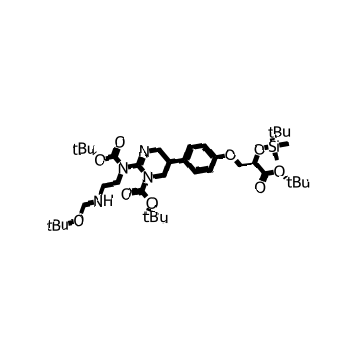 CC(C)(C)OCNCCN(C(=O)OC(C)(C)C)C1=NCC(c2ccc(OC[C@@H](O[Si](C)(C)C(C)(C)C)C(=O)OC(C)(C)C)cc2)CN1C(=O)OC(C)(C)C